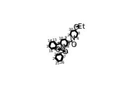 CCOC1CCN(C(=O)[C@@H]2CC[C@H](c3ccccc3)N(S(=O)(=O)c3ccccc3)C2)CC1